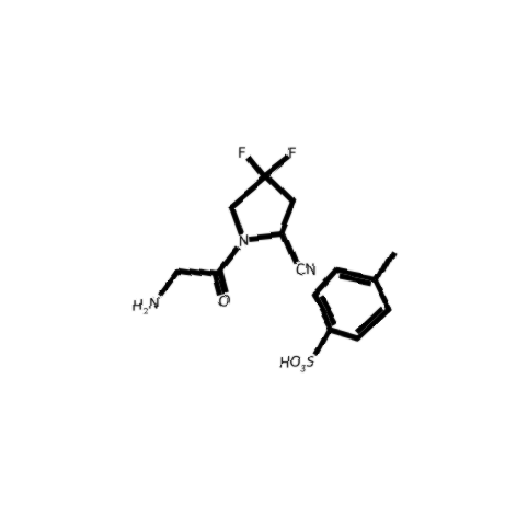 Cc1ccc(S(=O)(=O)O)cc1.N#CC1CC(F)(F)CN1C(=O)CN